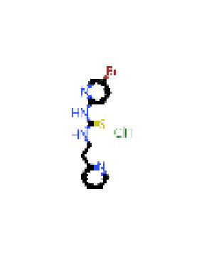 Cl.S=C(NCCc1ccccn1)Nc1ccc(Br)cn1